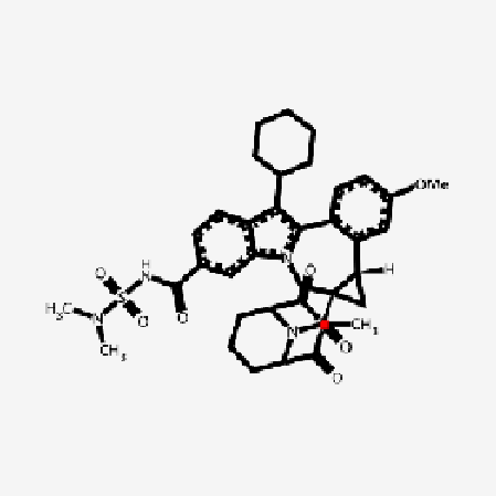 COc1ccc2c(c1)[C@@H]1C[C@]1(C(=O)N1C3CCCC1C(=O)N(C)C3=O)Cn1c-2c(C2CCCCC2)c2ccc(C(=O)NS(=O)(=O)N(C)C)cc21